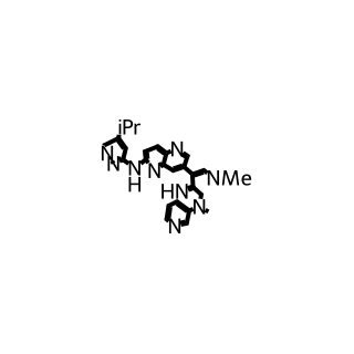 CN/C=C(\C(=N)CN(C)c1cccnc1)c1cnc2ccc(Nc3cc(C(C)C)cnn3)nc2c1